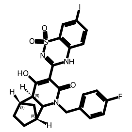 O=C1C(C2=NS(=O)(=O)c3cc(I)ccc3N2)=C(O)[C@H]2C([C@@H]3CC[C@H]2C3)N1Cc1ccc(F)cc1